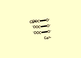 O=C([O-])[O-].O=C([O-])[O-].O=C([O-])[O-].[Ga+3].[Ga+3]